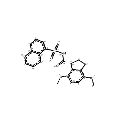 COc1ccc(OC)c2c1CC[C@H]2C(=O)NS(=O)(=O)c1cccc2ncccc12